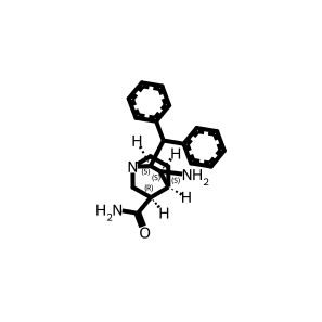 NC(=O)[C@H]1CN2CC[C@@H]1[C@H](N)[C@@H]2C(c1ccccc1)c1ccccc1